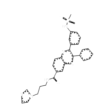 CS(=O)(=O)Nc1cccc(-c2nc3ccc(C(=O)NCCCn4ccnc4)cc3nc2-c2ccccc2)c1